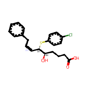 O=C(O)CCC[C@@H](O)[C@H](/C=C\Cc1ccccc1)Sc1ccc(Cl)cc1